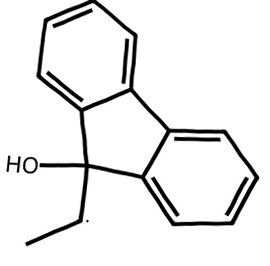 C[CH]C1(O)c2ccccc2-c2ccccc21